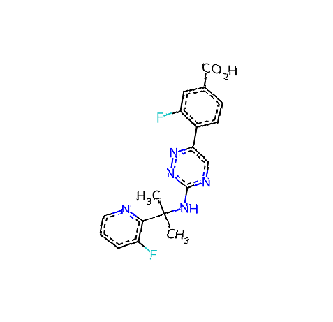 CC(C)(Nc1ncc(-c2ccc(C(=O)O)cc2F)nn1)c1ncccc1F